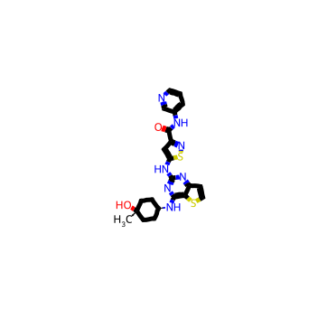 C[C@]1(O)CC[C@H](Nc2nc(Nc3cc(C(=O)Nc4cccnc4)ns3)nc3ccsc23)CC1